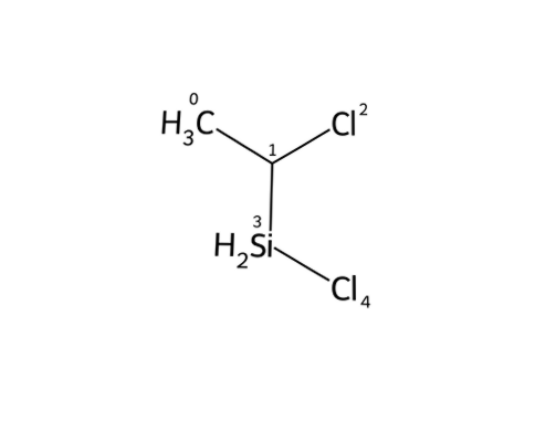 CC(Cl)[SiH2]Cl